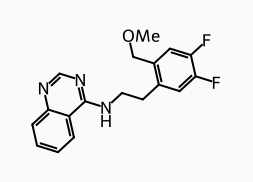 COCc1cc(F)c(F)cc1CCNc1ncnc2ccccc12